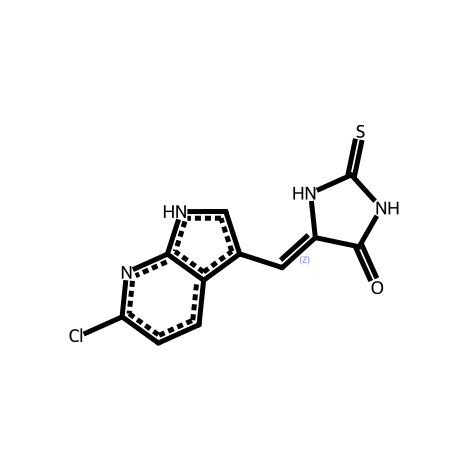 O=C1NC(=S)N/C1=C\c1c[nH]c2nc(Cl)ccc12